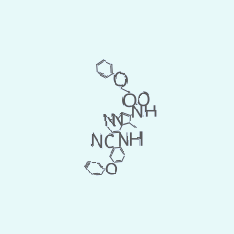 Cc1c(NC(=O)OCCOc2ccccc2)cn2ncc(C#N)c(Nc3ccc(Oc4ccccc4)cc3)c12